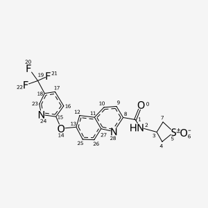 O=C(NC1C[S+]([O-])C1)c1ccc2cc(Oc3ccc(C(F)(F)F)cn3)ccc2n1